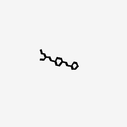 C=C/C=C(C=C)/C=C/c1ccc(/C=C/c2ccccc2)cc1